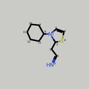 N=CCC1SC=CN1C1CCCCC1